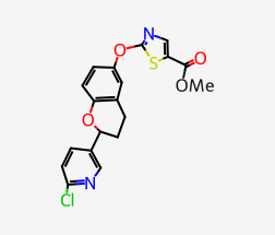 COC(=O)c1cnc(Oc2ccc3c(c2)CCC(c2ccc(Cl)nc2)O3)s1